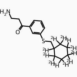 [2H]C1([2H])C([2H])([2H])C([2H])([2H])C([2H])(CSc2cccc(C(=O)CCN)c2)C([2H])([2H])C1([2H])[2H]